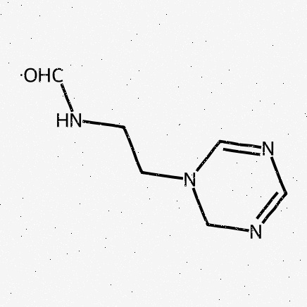 O=[C]NCCN1C=NC=NC1